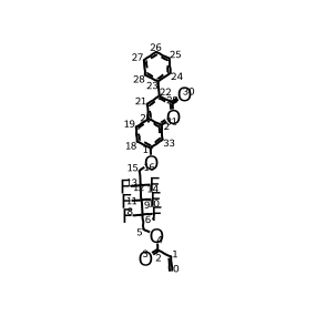 C=CC(=O)OCC(F)(F)C(F)(F)C(F)(F)COc1ccc2cc(-c3ccccc3)c(=O)oc2c1